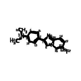 CN(C)c1ccc(-c2cn3cc([125I])ccc3n2)cc1